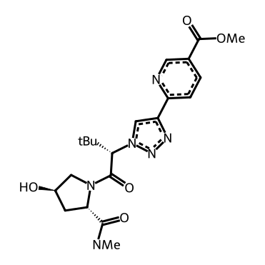 CNC(=O)[C@@H]1C[C@@H](O)CN1C(=O)[C@@H](n1cc(-c2ccc(C(=O)OC)cn2)nn1)C(C)(C)C